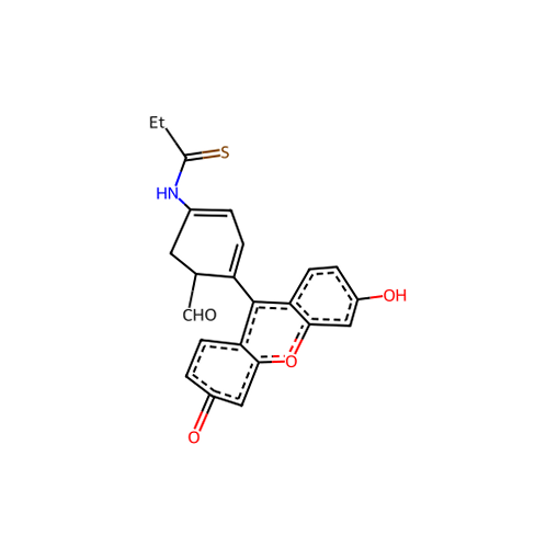 CCC(=S)NC1=CC=C(c2c3ccc(=O)cc-3oc3cc(O)ccc23)C(C=O)C1